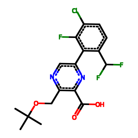 CC(C)(C)OCc1ncc(-c2c(C(F)F)ccc(Cl)c2F)nc1C(=O)O